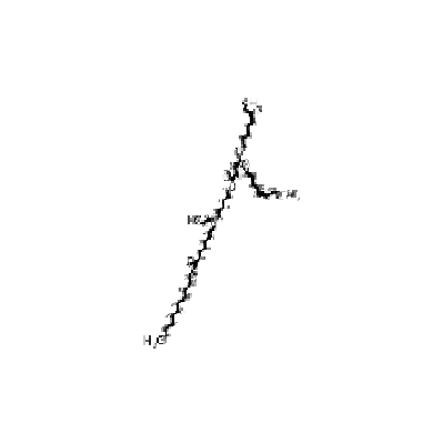 CC/C=C\CCCCOC(CCC(=O)OCCCCCCN(CCO)CCCCCCCC(=O)OCCCCCCCCCCC)OCCCC/C=C\CC